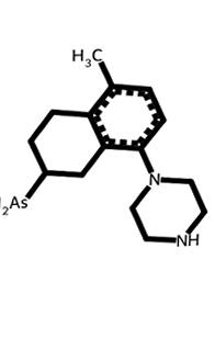 Cc1ccc(N2CCNCC2)c2c1CCC([AsH2])C2